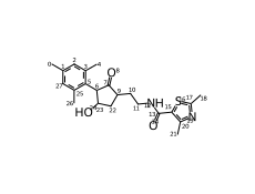 Cc1cc(C)c(C2C(=O)C(CCNC(=O)c3sc(C)nc3C)CC2O)c(C)c1